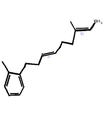 B/C=C(\C)CC/C=C/CCc1ccccc1C